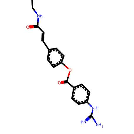 CCNC(=O)/C=C/c1ccc(OC(=O)c2ccc(NC(=N)N)cc2)cc1